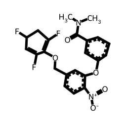 CN(C)C(=O)c1cccc(Oc2cc(COC3=C(F)CC(F)C=C3F)ccc2[N+](=O)[O-])c1